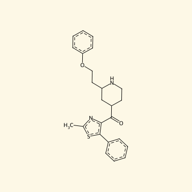 Cc1nc(C(=O)C2CCNC(CCOc3ccccc3)C2)c(-c2ccccc2)s1